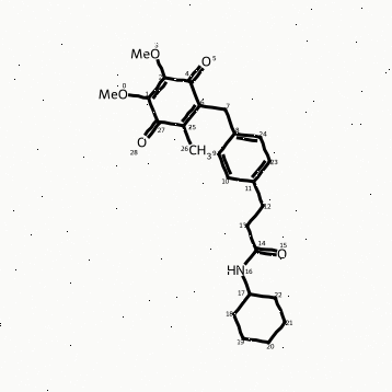 COC1=C(OC)C(=O)C(Cc2ccc(CCC(=O)NC3CCCCC3)cc2)=C(C)C1=O